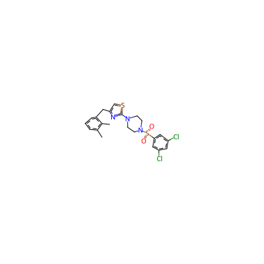 Cc1cccc(Cc2csc(N3CCN(S(=O)(=O)c4cc(Cl)cc(Cl)c4)CC3)n2)c1C